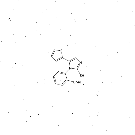 COc1ccccc1-n1c(-c2cccs2)cnc1S